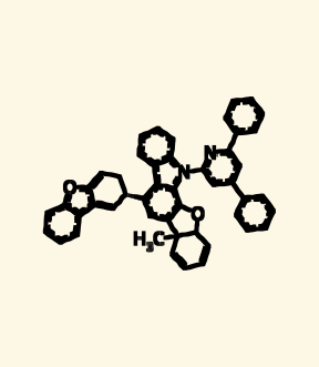 CC12C=CC=CC1Oc1c2cc([C@H]2C=c3c(oc4ccccc34)=CC2)c2c3ccccc3n(-c3cc(-c4ccccc4)cc(-c4ccccc4)n3)c12